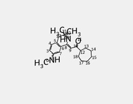 CNc1ccc2c(c1)C(=CC(=O)C1CCCCCC1)NC(C)(C)C2